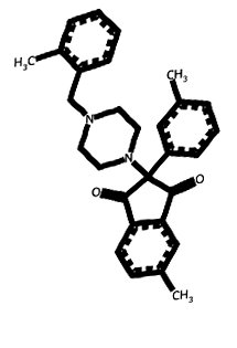 Cc1cccc(C2(N3CCN(Cc4ccccc4C)CC3)C(=O)c3ccc(C)cc3C2=O)c1